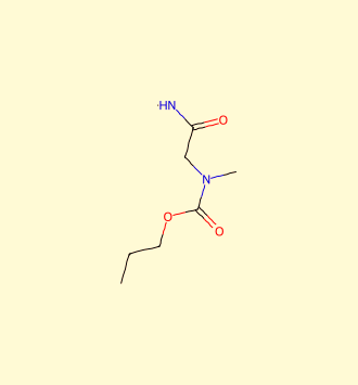 CCCOC(=O)N(C)CC([NH])=O